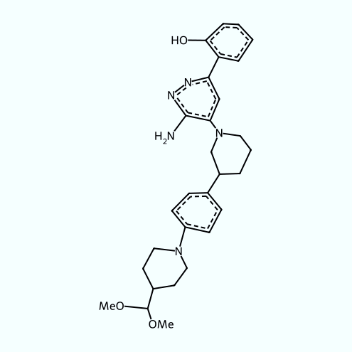 COC(OC)C1CCN(c2ccc(C3CCCN(c4cc(-c5ccccc5O)nnc4N)C3)cc2)CC1